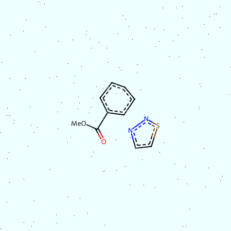 COC(=O)c1ccccc1.c1csnn1